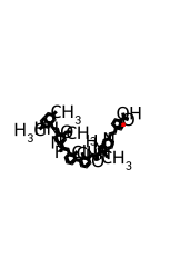 COc1cc(/C(F)=C/c2cccc(-c3cccc(NC(=O)c4nc5c(n4C)CCN(CCC46CCC(C(=O)O)(CC4)C6)C5)c3Cl)c2Cl)ncc1CNC12CC(C)CC(CC(C)C1)C2